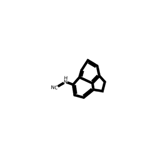 N#CNc1ccc2c3c(cccc13)CC2